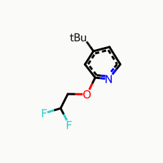 CC(C)(C)c1ccnc(OCC(F)F)c1